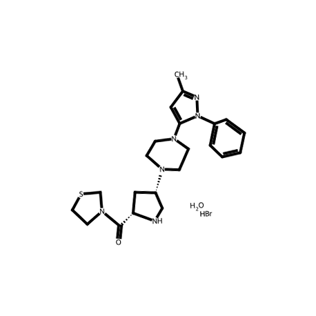 Br.Cc1cc(N2CCN([C@@H]3CN[C@H](C(=O)N4CCSC4)C3)CC2)n(-c2ccccc2)n1.O